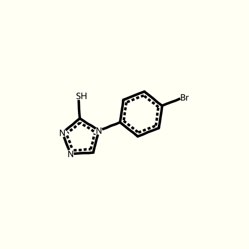 Sc1nncn1-c1ccc(Br)cc1